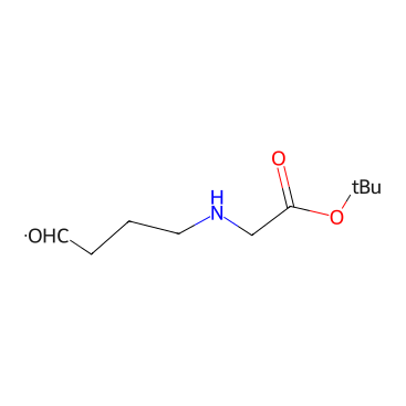 CC(C)(C)OC(=O)CNCCC[C]=O